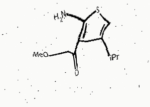 COC(=O)c1c(C(C)C)csc1N